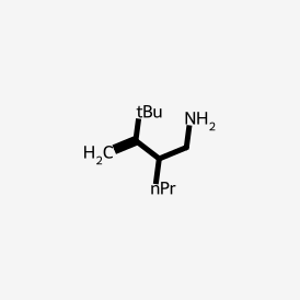 C=C(C(CN)CCC)C(C)(C)C